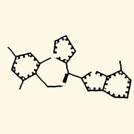 Fc1cccc2cc(C3=NCc4c(Cl)cc(Cl)cc4-n4cccc43)sc12